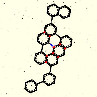 c1ccc(-c2cccc(-c3ccc(N(c4ccccc4-c4cccc(-c5cccc6ccccc56)c4)c4ccccc4-c4ccccc4-c4ccccc4)cc3)c2)cc1